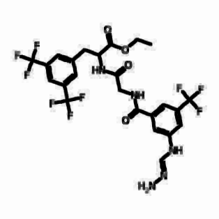 CCOC(=O)C(Cc1cc(C(F)(F)F)cc(C(F)(F)F)c1)NC(=O)CNC(=O)c1cc(NC=NN)cc(C(F)(F)F)c1